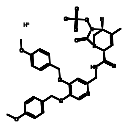 COc1ccc(COc2cnc(CNC(=O)[C@@H]3C=C(C)[C@@H]4CN3C(=O)N4OS(=O)(=O)[O-])cc2OCc2ccc(OC)cc2)cc1.[H+]